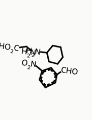 NC1CCCCC1.NCC(=O)O.O=Cc1cccc([N+](=O)[O-])c1